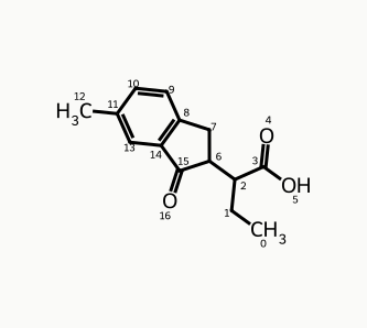 CCC(C(=O)O)C1Cc2ccc(C)cc2C1=O